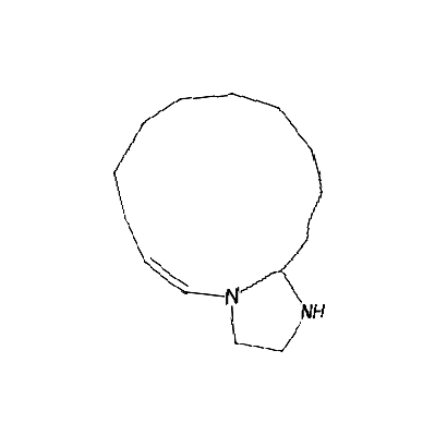 C1=CN2CCNC2CCCCCCCCC1